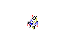 C=CC(=O)N1CCCN(Cc2cc(Sc3cnc(NC(=O)c4ccsc4)s3)c(C)cc2OC)C[C@H]1C(C)(C)C